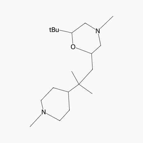 CN1CCC(C(C)(C)CC2CN(C)CC(C(C)(C)C)O2)CC1